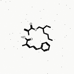 C=C(C)C(=O)OCC(CC)CCCC.CC(=CC=Cc1ccccc1)C(=O)O